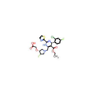 CCOC(=O)C1=C(CN2C[C@@H](F)[C@H](OCC(=O)O)C2)NC(c2nccs2)=N[C@H]1c1ccc(F)cc1Cl